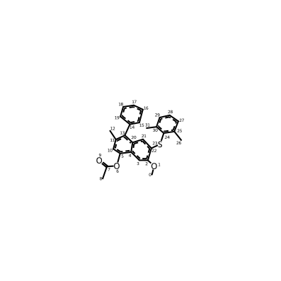 COc1cc2c(OC(C)=O)cc(C)c(-c3ccccc3)c2cc1Sc1c(C)cccc1C